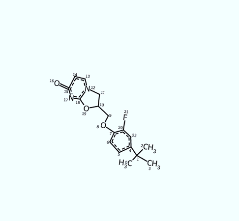 CC(C)(C)c1ccc(OCC2Cn3ccc(=O)nc3O2)c(F)c1